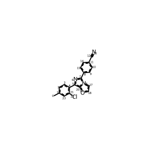 Cc1ccc(-c2nc(-c3ccc(C#N)cc3)n3ccoc23)c(Cl)c1